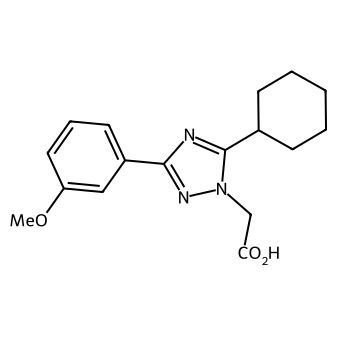 COc1cccc(-c2nc(C3CCCCC3)n(CC(=O)O)n2)c1